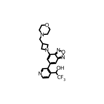 OC(c1ccncc1-c1cc(N2CC(CN3CCOCC3)C2)c2nonc2c1)C(F)(F)F